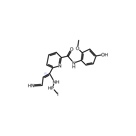 COc1cc(O)ccc1NC(=O)c1cccc(/C(=C/C=N)NPI)n1